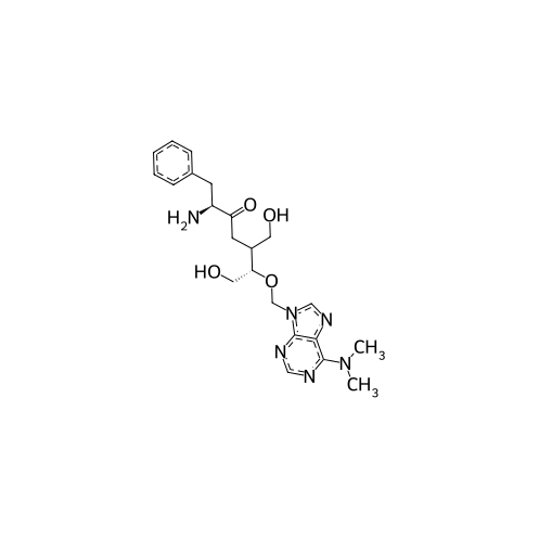 CN(C)c1ncnc2c1ncn2CO[C@H](CO)C(CO)CC(=O)[C@@H](N)Cc1ccccc1